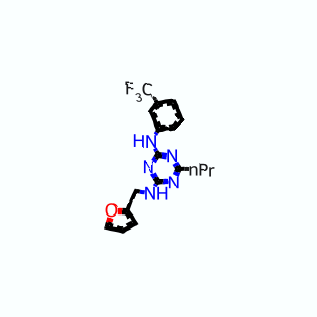 CCCc1nc(NCc2ccco2)nc(Nc2cccc(C(F)(F)F)c2)n1